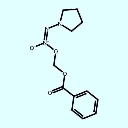 O=C(OCO/[N+]([O-])=N\N1CCCC1)c1[c]cccc1